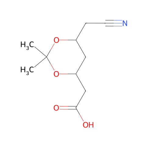 CC1(C)OC(CC#N)CC(CC(=O)O)O1